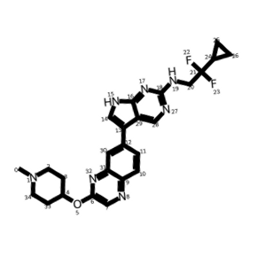 CN1CCC(Oc2cnc3ccc(-c4c[nH]c5nc(NCC(F)(F)C6CC6)ncc45)cc3n2)CC1